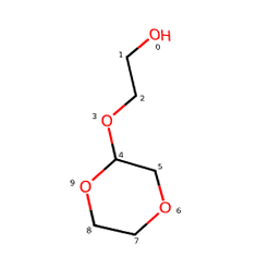 OCCOC1COCCO1